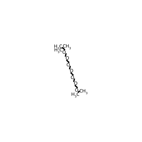 CC(C)OCCOCCOCCOCCOCCOCCOCC(C)(C)C